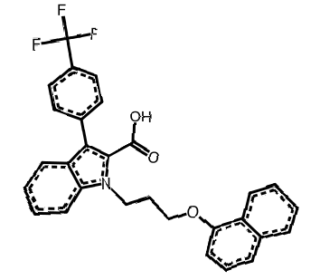 O=C(O)c1c(-c2ccc(C(F)(F)F)cc2)c2ccccc2n1CCCOc1cccc2ccccc12